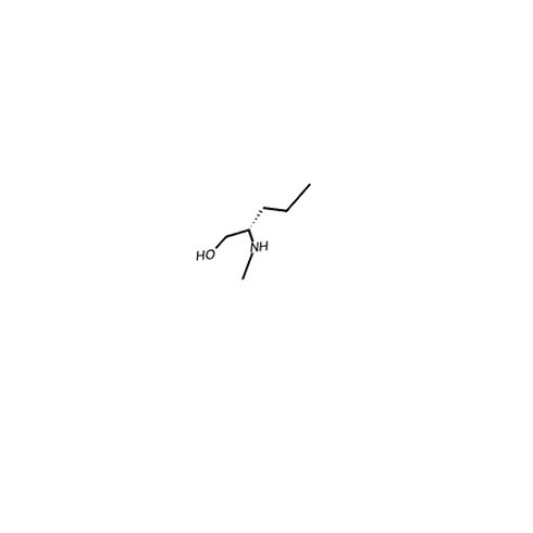 CCC[C@@H](CO)NC